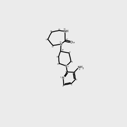 Nc1cccnc1N1CCC(N2CCCCNC2=O)CC1